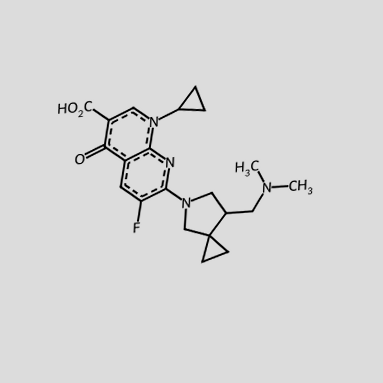 CN(C)CC1CN(c2nc3c(cc2F)c(=O)c(C(=O)O)cn3C2CC2)CC12CC2